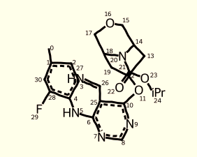 Cc1ccc(Nc2ncnc(OC3CC4COCC(C3)N4C(=O)OC(C)C)c2C=N)c(F)c1